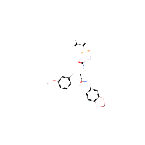 C=C(C)C(=C)S(=O)(=O)NC(=O)N[C@@H](Cc1cccc(OC)c1)C(=O)N(C)c1ccc2c(c1)OCO2